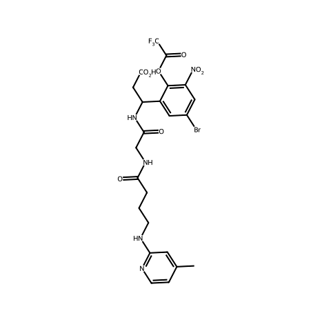 Cc1ccnc(NCCCC(=O)NCC(=O)NC(CC(=O)O)c2cc(Br)cc([N+](=O)[O-])c2OC(=O)C(F)(F)F)c1